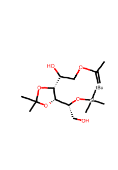 C=C(C)OCC(O)[C@H]1OC(C)(C)O[C@H]1[C@@H](CO)O[Si](C)(C)C(C)(C)C